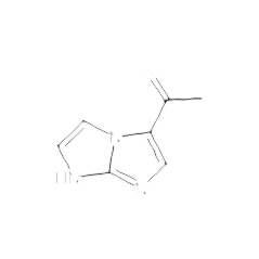 CC(=O)c1cnc2[nH]ccn12